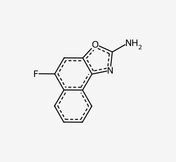 Nc1nc2c(cc(F)c3ccccc32)o1